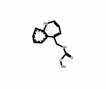 CC(C)(C)OC(=O)NCC1=CC=CNc2ccccc21